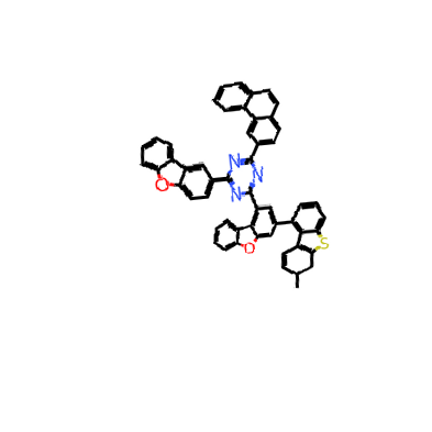 CC1C=Cc2c(sc3cccc(-c4cc(-c5nc(-c6ccc7ccc8ccccc8c7c6)nc(-c6ccc7oc8ccccc8c7c6)n5)c5c(c4)oc4ccccc45)c23)C1